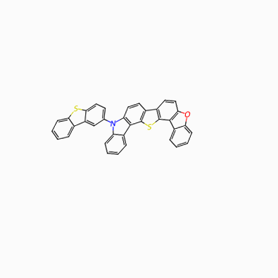 c1ccc2c(c1)oc1ccc3c4ccc5c(c6ccccc6n5-c5ccc6sc7ccccc7c6c5)c4sc3c12